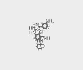 N=Cc1c(NC2CCCCO2)ccc(NC(=N)OC(=N)c2cccc(N)c2)c1Cl